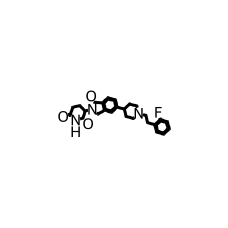 O=C1CCC(N2Cc3cc(C4CCN(CCc5ccccc5F)CC4)ccc3C2=O)C(=O)N1